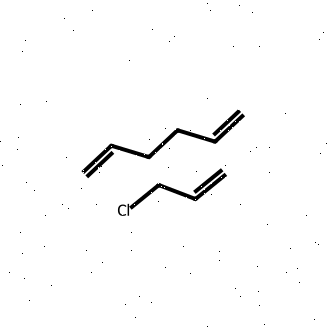 C=CCCC=C.C=CCCl